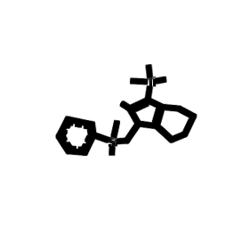 CC1=[C]([Ti]([CH3])([CH3])[CH3])C2=C(CCCC2)C1C[Si](C)(C)c1ccccc1